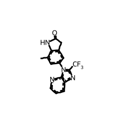 Cc1cc(-n2c(C(F)(F)F)nc3cccnc32)cc2c1NC(=O)C2